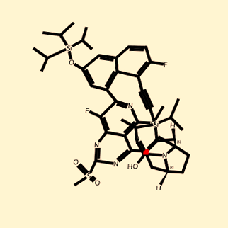 COc1nc(-c2cc(O[Si](C(C)C)(C(C)C)C(C)C)cc3ccc(F)c(C#C[Si](C(C)C)(C(C)C)C(C)C)c23)c(F)c2nc(S(C)(=O)=O)nc(N3C[C@H]4CC[C@@H](C3)N4C(=O)O)c12